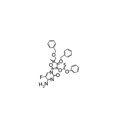 C[C@]1(COCc2ccccc2)O[C@@H](n2cc(F)c(N)nc2=O)[C@H](OC(=S)Oc2ccccc2)[C@@H]1OCc1ccccc1